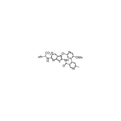 CCCC(Nc1ccc2nc(NC(=O)c3cnc(C)cc3-c3cc(Cl)ncc3OC)sc2n1)C(=O)O